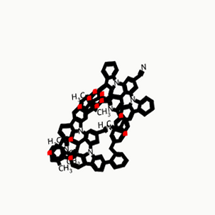 Cc1cc(-c2c(-n3c4cc(-c5ccccc5C)ccc4c4ccc(-c5ccccc5C)cc43)cc(C#N)cc2-n2c3cc(-c4ccccc4C)ccc3c3ccc(-c4ccccc4Cc4ccc(-c5ccc6c(c5)c5ccccc5n6-c5cc(C#N)cc(-n6c7ccccc7c7cc(-c8ccccc8C)ccc76)c5-c5cc(-c6ccccc6)nc(-c6ccccc6)c5)c(C)c4)cc32)cc(C)n1